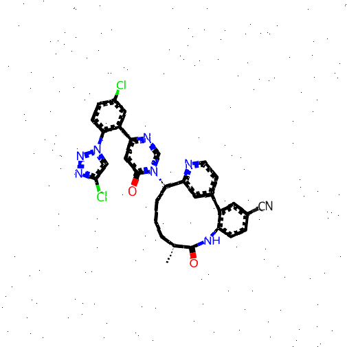 C[C@@H]1CCC[C@H](n2cnc(-c3cc(Cl)ccc3-n3cc(Cl)nn3)cc2=O)c2cc(ccn2)-c2cc(C#N)ccc2NC1=O